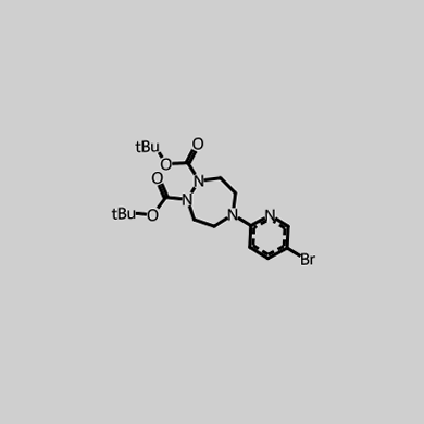 CC(C)(C)OC(=O)N1CCN(c2ccc(Br)cn2)CCN1C(=O)OC(C)(C)C